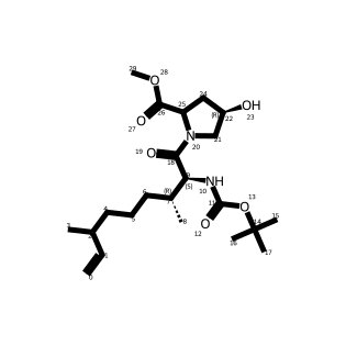 C=CC(C)CCC[C@@H](C)[C@H](NC(=O)OC(C)(C)C)C(=O)N1C[C@H](O)CC1C(=O)OC